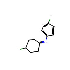 Fc1ccc(N=C2CCC(F)CC2)cc1